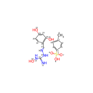 Cc1ccc(S(=O)(=O)O)cc1.N=C(NO)N/N=C/c1ccc(O)cc1O